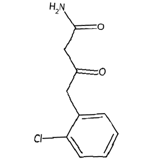 NC(=O)CC(=O)Cc1ccccc1Cl